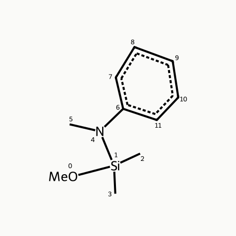 CO[Si](C)(C)N(C)c1ccccc1